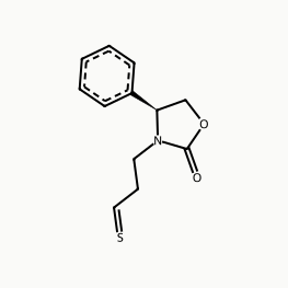 O=C1OC[C@H](c2ccccc2)N1CCC=S